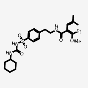 CC/C(OC)=C(\C=C(C)C)C(=O)NCCc1ccc(S(=O)(=O)NC(=O)NC2CCCCC2)cc1